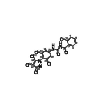 O=C(NC(=O)c1ccccc1Cl)Nc1cc(Cl)c(-n2nc(Cl)c(Cl)c2Cl)c(Cl)c1